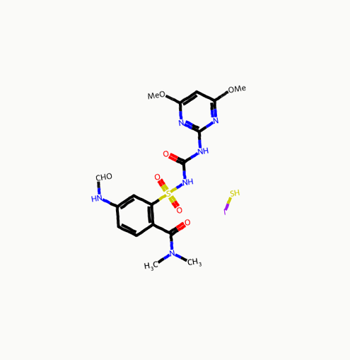 COc1cc(OC)nc(NC(=O)NS(=O)(=O)c2cc(NC=O)ccc2C(=O)N(C)C)n1.SI